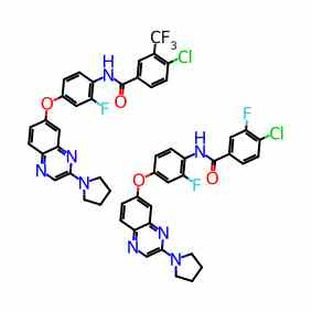 O=C(Nc1ccc(Oc2ccc3ncc(N4CCCC4)nc3c2)cc1F)c1ccc(Cl)c(C(F)(F)F)c1.O=C(Nc1ccc(Oc2ccc3ncc(N4CCCC4)nc3c2)cc1F)c1ccc(Cl)c(F)c1